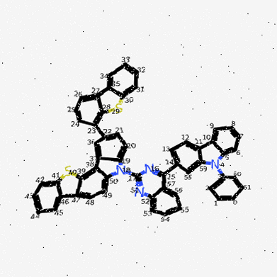 c1ccc(-n2c3ccccc3c3ccc(-c4nc(-n5c6ccc(-c7cccc8c7sc7ccccc78)cc6c6c7sc8ccccc8c7ccc65)nc5ccccc45)cc32)cc1